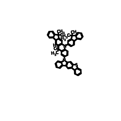 CC1(C)c2ccccc2-c2ccc(N3c4ccc(-n5c6ccccc6c6cc7c(cc65)sc5ccccc57)cc4C(C)(C)c4cc5c(cc43)C(C)(C)c3ccccc3-5)cc21